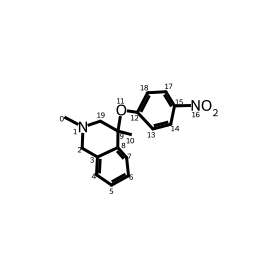 CN1Cc2ccccc2C(C)(Oc2ccc([N+](=O)[O-])cc2)C1